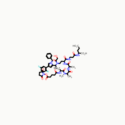 CC(NC(=O)C(C)N(C)C(=O)C(C)NC(=O)CCCC(=O)ON1C(=O)CCC1=O)C(=O)NC(CCN(C(=O)CO)C(c1cc(-c2cc(F)ccc2F)cn1Cc1ccccc1)C(C)(C)C)C(=O)NCCC(=O)NC(CCC(=O)O)C(=O)O